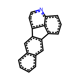 c1ccc2cc3c(cc2c1)-c1cccc2nccc-3c12